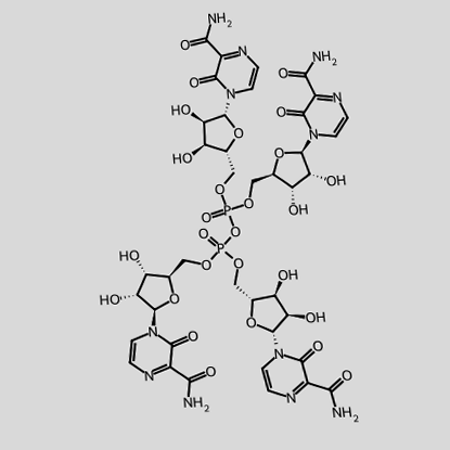 NC(=O)c1nccn([C@@H]2O[C@H](COP(=O)(OC[C@H]3O[C@@H](n4ccnc(C(N)=O)c4=O)[C@H](O)[C@@H]3O)OP(=O)(OC[C@H]3O[C@@H](n4ccnc(C(N)=O)c4=O)[C@H](O)[C@@H]3O)OC[C@H]3O[C@@H](n4ccnc(C(N)=O)c4=O)[C@H](O)[C@@H]3O)[C@@H](O)[C@H]2O)c1=O